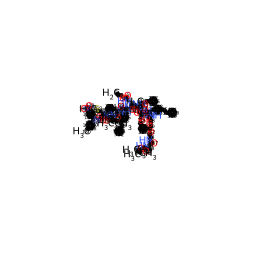 C=CCOC(=O)NC[C@H](NC(=O)[C@@H](NC(=O)[C@H](COCc1ccccc1)NC(=O)[C@H](Cc1ccc(CCc2ccccc2)cc1)NC(=O)COCCOCCNC(=O)[C@H](CC)NC(=O)OC(C)(C)C)C(C)OCc1ccccc1)C(=O)N[C@@H](Cc1ccc(CCc2ccccc2)cc1)C(=O)N[C@@H](Cc1ccccc1)C(=O)N[C@H](C(=O)N[C@@H](CCSC)C(=O)O/N=C(/c1ccc(C)cc1)c1ccc([N+](=O)[O-])cc1)C(C)CC